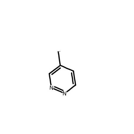 [CH2]c1ccnnc1